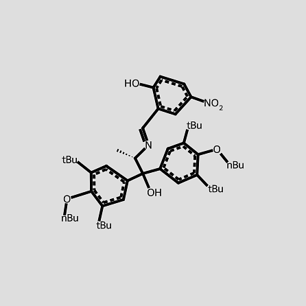 CCCCOc1c(C(C)(C)C)cc(C(O)(c2cc(C(C)(C)C)c(OCCCC)c(C(C)(C)C)c2)[C@H](C)N=Cc2cc([N+](=O)[O-])ccc2O)cc1C(C)(C)C